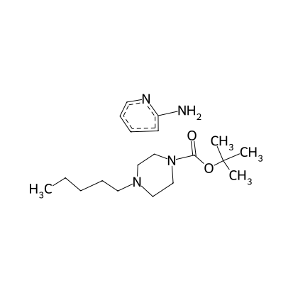 CCCCCN1CCN(C(=O)OC(C)(C)C)CC1.Nc1ccccn1